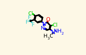 CN(N)c1cnn(-c2ccc(Cl)c(C(F)(F)F)c2)c(=O)c1Cl